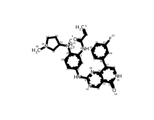 C=CC(=O)Nc1cc(Nc2ncc3c(=O)[nH]cc(-c4cccc(F)c4)c3n2)ccc1N(C)C1CCN(C)C1